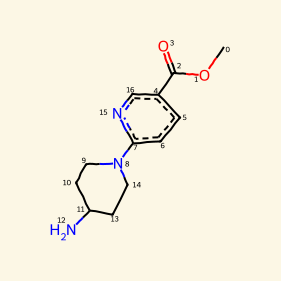 COC(=O)c1ccc(N2CCC(N)CC2)nc1